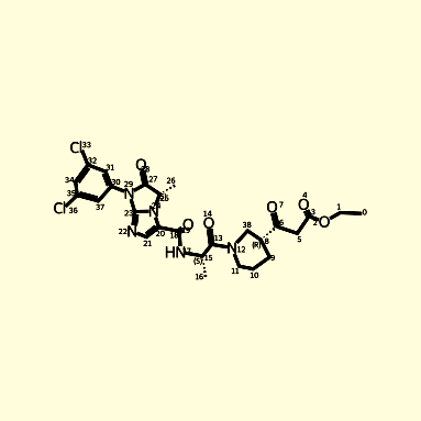 CCOC(=O)CC(=O)[C@@H]1CCCN(C(=O)[C@H](C)NC(=O)c2cnc3n2[C@@H](C)C(=O)N3c2cc(Cl)cc(Cl)c2)C1